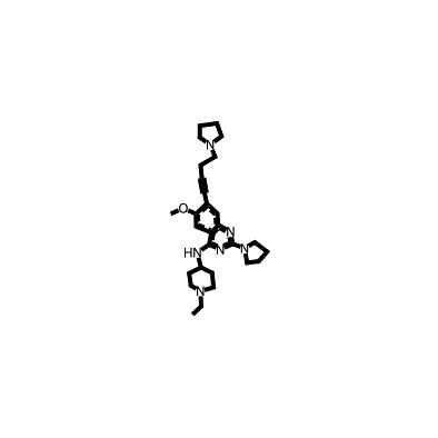 CCN1CCC(Nc2nc(N3CCCC3)nc3cc(C#CCCN4CCCC4)c(OC)cc23)CC1